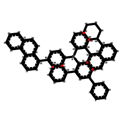 c1ccc(-c2ccc(N(c3ccc(-c4cccc5c4ccc4ccccc45)cc3)c3ccccc3-c3cccc4cccc(C5CCCCC5)c34)c(-c3ccccc3)c2)cc1